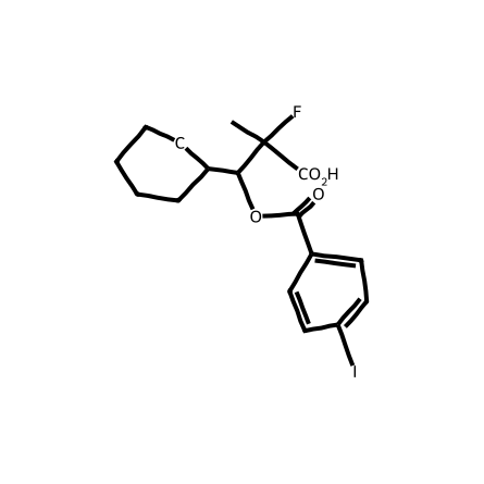 CC(F)(C(=O)O)C(OC(=O)c1ccc(I)cc1)C1CCCCC1